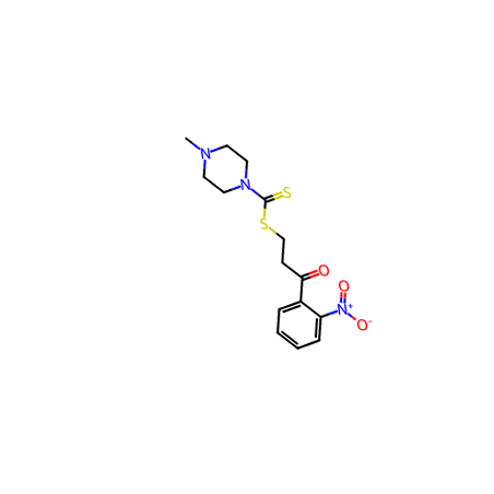 CN1CCN(C(=S)SCCC(=O)c2ccccc2[N+](=O)[O-])CC1